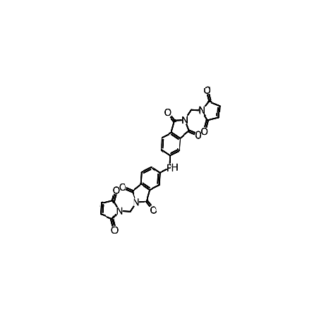 O=C1C=CC(=O)N1CN1C(=O)c2ccc(Pc3ccc4c(c3)C(=O)N(CN3C(=O)C=CC3=O)C4=O)cc2C1=O